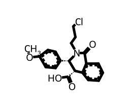 COc1ccc([C@H]2[C@@H](C(=O)O)c3ccccc3C(=O)N2CCCCl)cc1